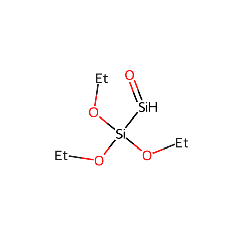 CCO[Si](OCC)(OCC)[SiH]=O